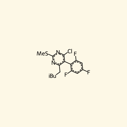 CCC(C)Cc1nc(SC)nc(Cl)c1-c1c(F)cc(F)cc1F